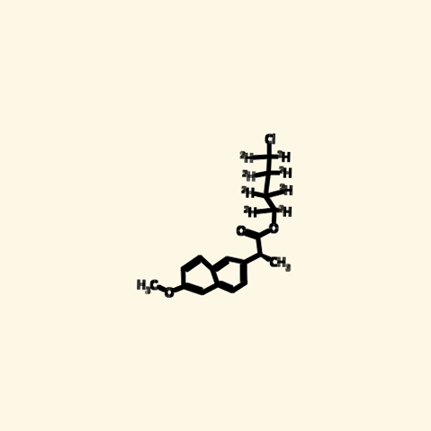 [2H]C([2H])(Cl)C([2H])([2H])C([2H])([2H])C([2H])([2H])OC(=O)[C@@H](C)c1ccc2cc(OC)ccc2c1